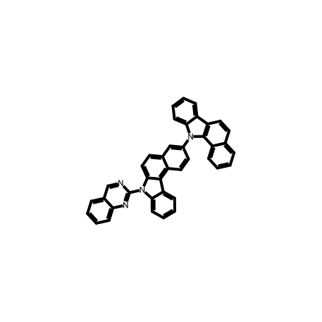 c1ccc2nc(-n3c4ccccc4c4c5ccc(-n6c7ccccc7c7ccc8ccccc8c76)cc5ccc43)ncc2c1